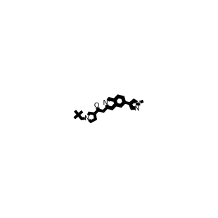 Cn1cc(-c2ccc3cnc(CC(=O)C4CCN(CC(C)(C)C)C4)cc3c2)cn1